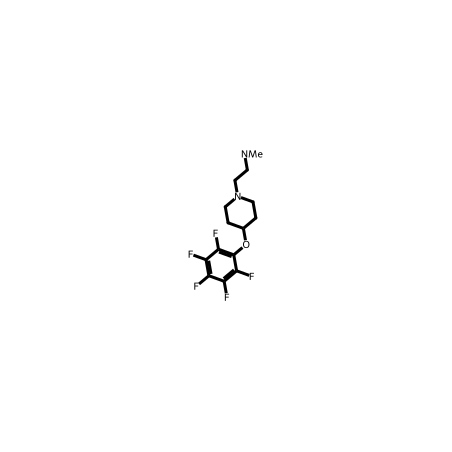 CNCCN1CCC(Oc2c(F)c(F)c(F)c(F)c2F)CC1